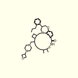 CCCc1ccccc1C1COc2ccc3cc2N(C1)CC1CCC1C(CN1CCN(C2COC2)CC1)CCCC(C)C(C)SNC3=O